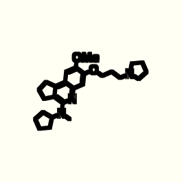 COc1cc2c3c(c(N(C)C4CCCC4)nc2cc1OCCCN1CCCC1)CCC3